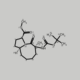 COC(=O)[C@@H]1CC[C@@H]2CCCC[C@](C)(NC(=O)OC(C)(C)C)C(=O)N21